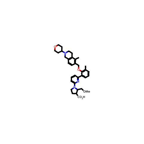 COCC1C(C(=O)O)CCN1c1cccc(-c2cccc(C)c2OCc2ccc3c(c2C)CCN(C2CCOCC2)C3)n1